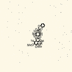 [2H]c1c(OC)c(OC)c([2H])c2c(N([2H])[2H])nc(N3C([2H])([2H])C([2H])([2H])N(C(=O)C4([2H])COc5ccccc5O4)C([2H])([2H])C3([2H])[2H])nc12